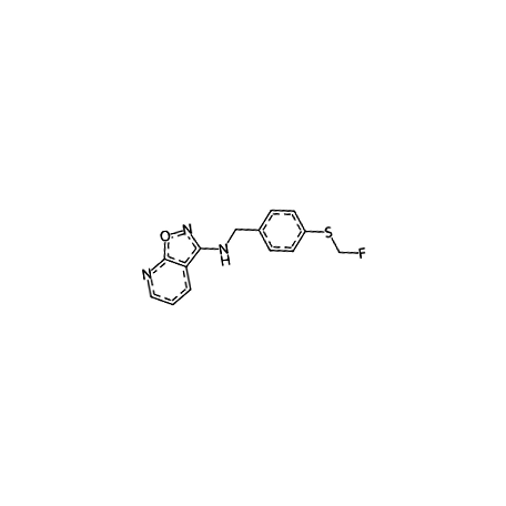 FCSc1ccc(CNc2noc3ncccc23)cc1